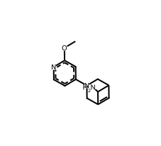 COc1cc(N2CC3=CC(C2)C3N)ccn1